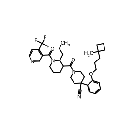 CCCC1C(C(=O)N2CCC(C#N)(c3ccccc3OCCCC3(C)CCC3)CC2)CCCN1C(=O)c1cnccc1C(F)(F)F